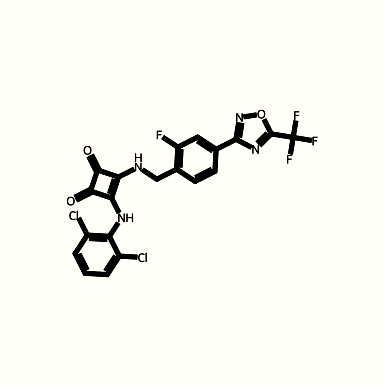 O=c1c(NCc2ccc(-c3noc(C(F)(F)F)n3)cc2F)c(Nc2c(Cl)cccc2Cl)c1=O